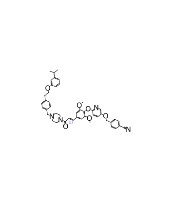 COc1cc(/C=C/C(=O)N2CCN(Cc3ccc(CCOc4cccc(C(C)C)c4)cc3)CC2)cc(OC)c1Oc1ccc(OCc2ccc(C#N)cc2)cn1